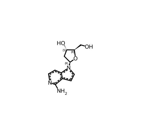 Nc1nccc2c1ccn2[C@H]1C[C@H](O)[C@@H](CO)O1